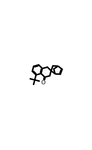 CC(C)(C)c1cccc2c1C(=O)CC1(C2)CC2C=CC1C2